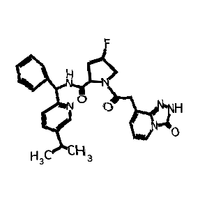 CC(C)c1ccc(C(NC(=O)C2CC(F)CN2C(=O)Cc2cccn3c(=O)[nH]nc23)c2ccccc2)nc1